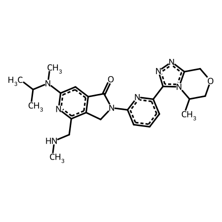 CNCc1nc(N(C)C(C)C)cc2c1CN(c1cccc(-c3nnc4n3C(C)COC4)n1)C2=O